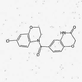 O=C1COc2ccc(C(=O)N3[CH]COc4cc(Cl)ccc43)cc2N1